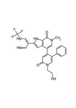 Cn1cc(-c2cc(=O)n(CCO)cc2-c2ccccc2)c2cc(/C(C=N)=C/NC(F)(F)F)[nH]c2c1=O